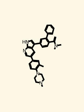 C=C(c1ccc(-c2c[nH]c3ncc(-c4ccc(N5CCN(C)CC5)c(C)c4)cc23)cc1-c1ccccc1)N(C)C